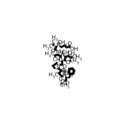 CC[C@H](C)[C@@H]([C@@H](CC(=O)N1CCC[C@H]1[C@H](OC)[C@@H](C)C(=O)N[C@@H](Cc1ccccc1)C(=O)OC)OC)N(C)C(=O)[C@@H](NC(=O)[C@H](C(C)C)N(C)CCCC(=O)O)C(C)C